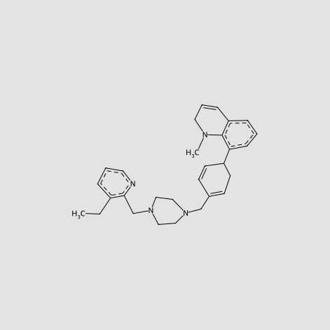 CCc1cccnc1CN1CCN(CC2=CCC(c3cccc4c3N(C)CC=C4)C=C2)CC1